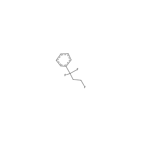 FCCC(F)(F)c1cc[c]cc1